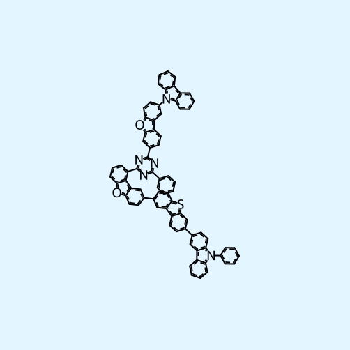 c1ccc(-c2nc(-c3ccc4c(c3)oc3ccc(-n5c6ccccc6c6ccccc65)cc34)nc(-c3cccc4oc5ccc(-c6ccc7sc8cc(-c9ccc%10c(c9)c9ccccc9n%10-c9ccccc9)ccc8c7c6)cc5c34)n2)cc1